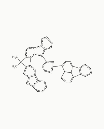 CC1(C)c2cc3oc4ccccc4c3cc2-c2c1ccc1c3ccccc3n(-c3cccc(C4=CC=C5c6ccccc6C6=CC=CC4C65)c3)c21